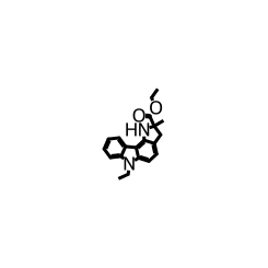 CCOC(=O)C1(C)Cc2ccc3c(c2N1)c1ccccc1n3CC